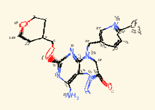 Nc1nc(OCC2CCOCC2)nc2c1NC(=O)CN2Cc1ccc(C(F)(F)F)nc1